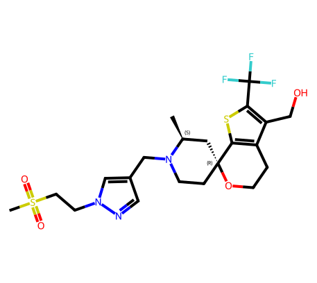 C[C@H]1C[C@@]2(CCN1Cc1cnn(CCS(C)(=O)=O)c1)OCCc1c2sc(C(F)(F)F)c1CO